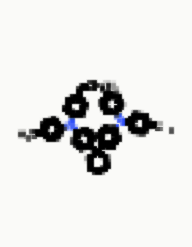 CCc1ccc(N(c2ccc(C)cc2)c2ccc(C3(c4ccc(N(c5ccc(C)cc5)c5ccc(C)cc5)cc4)CCCCC3)cc2)cc1